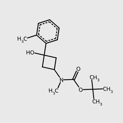 Cc1ccccc1C1(O)CC(N(C)C(=O)OC(C)(C)C)C1